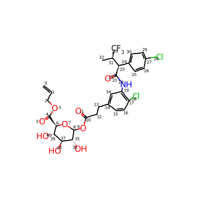 C=CCOC(=O)[C@H]1OC(OC(=O)CCc2ccc(Cl)c(NC(=O)[C@H](c3ccc(Cl)cc3)[C@@H](C)C(F)(F)F)c2)[C@H](O)[C@@H](O)[C@@H]1O